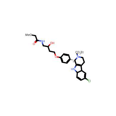 CCOC(=O)N1CCC2=C(NC3C=CC(Cl)=CC23)[C@@H]1c1ccc(OCCC(O)CNC(=O)COC)cc1